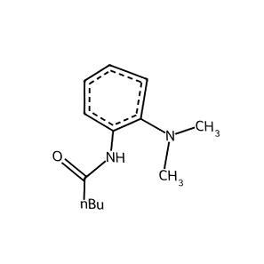 CCCCC(=O)Nc1ccccc1N(C)C